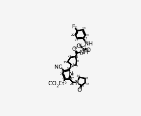 CCOC(=O)c1cc(C#N)c(N2CCC(C(=O)NS(=O)(=O)Nc3ccc(F)cc3)CC2)nc1CN1CCCC1=O